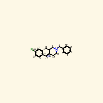 CC1CN(Cc2ccccc2)CC/C1=C/c1ccc(F)cc1